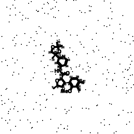 COc1c([C@@H]2[C@H](C)[C@@H](C)O[C@H]2C(=O)Nc2ccnc([C@]3(C)COC(C)(C)O3)c2)ccc(F)c1F